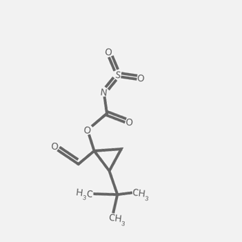 CC(C)(C)C1CC1(C=O)OC(=O)N=S(=O)=O